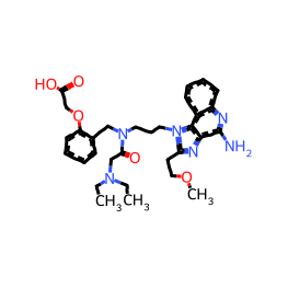 CCN(CC)CC(=O)N(CCCn1c(CCOC)nc2c(N)nc3ccccc3c21)Cc1ccccc1OCC(=O)O